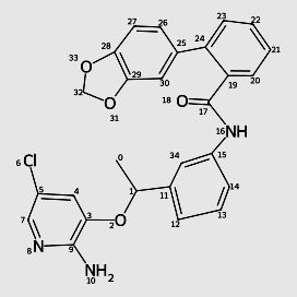 CC(Oc1cc(Cl)cnc1N)c1cccc(NC(=O)c2ccccc2-c2ccc3c(c2)OCO3)c1